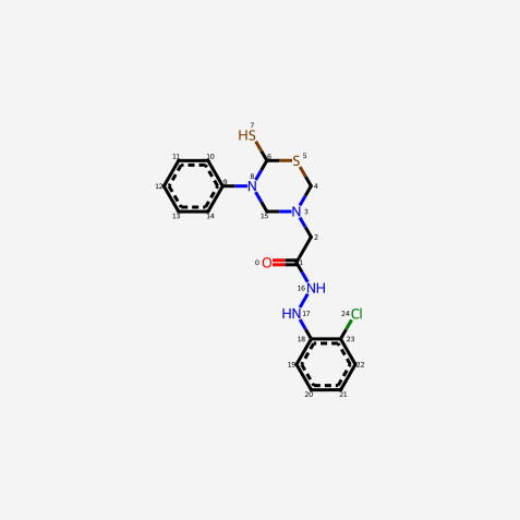 O=C(CN1CSC(S)N(c2ccccc2)C1)NNc1ccccc1Cl